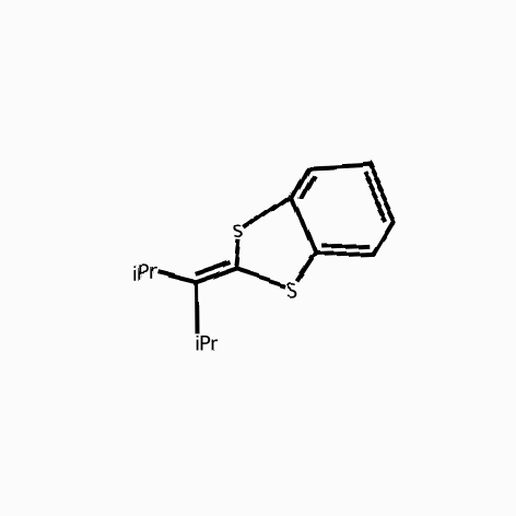 CC(C)C(=C1Sc2ccccc2S1)C(C)C